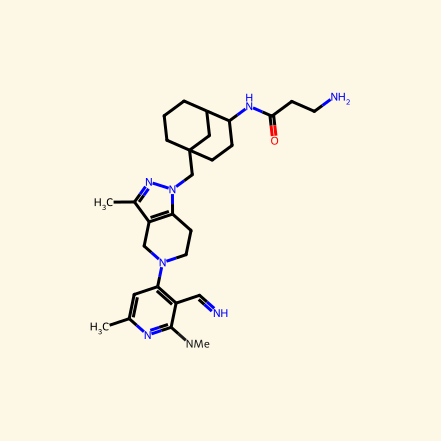 CNc1nc(C)cc(N2CCc3c(c(C)nn3CC34CCCC(C3)C(NC(=O)CCN)CC4)C2)c1C=N